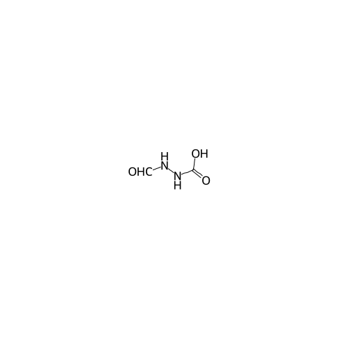 O=CNNC(=O)O